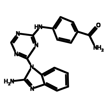 NC(=O)c1ccc(Nc2ncnc(-n3c(N)nc4ccccc43)n2)cc1